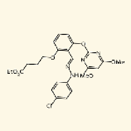 CCOC(=O)CCCOc1cccc(Oc2nc(OC)cc(OC)n2)c1C=NNc1ccc(Cl)cc1